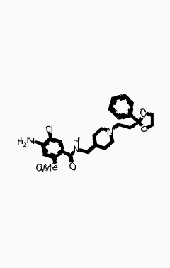 COc1cc(N)c(Cl)cc1C(=O)NCC1CCN(CCC2(c3ccccc3)OCCO2)CC1